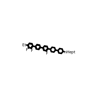 CCCCCCCC1CCC(C2CCC(c3ccc(-c4ccc(-c5ccc(CC)c(F)c5F)cc4)cc3F)CC2)CC1